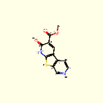 COC(=O)c1cc2c([nH]c1=O)sc1cnccc12